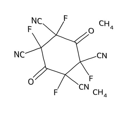 C.C.N#CC1(F)C(=O)C(F)(C#N)C(F)(C#N)C(=O)C1(F)C#N